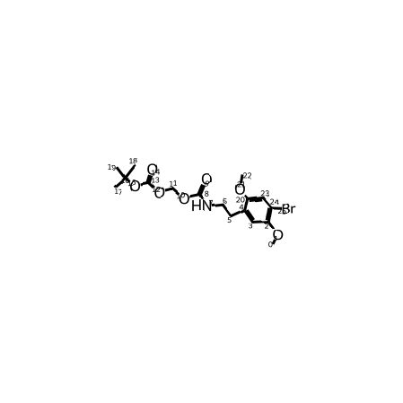 COc1cc(CCNC(=O)OCOC(=O)OC(C)(C)C)c(OC)cc1Br